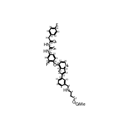 COOSCCNCc1cccc(-c2cc3nccc(Oc4ccc(NC(=S)NC(=O)Cc5ccc(F)cc5)cc4F)c3s2)c1